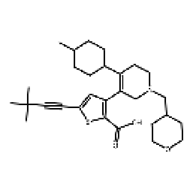 CC1CCC(C2=C(c3cc(C#CC(C)(C)C)sc3C(=O)O)CN(CC3CCOCC3)CC2)CC1